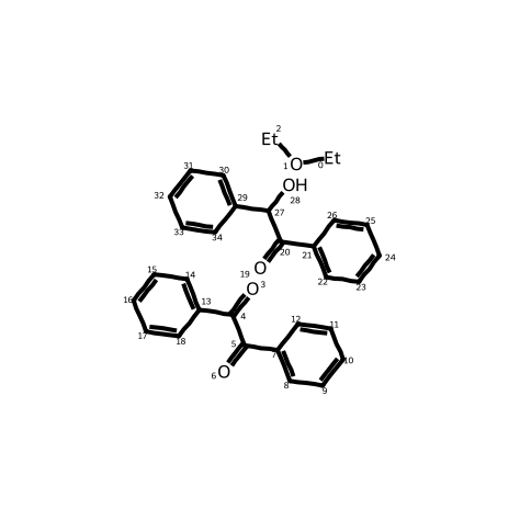 CCOCC.O=C(C(=O)c1ccccc1)c1ccccc1.O=C(c1ccccc1)C(O)c1ccccc1